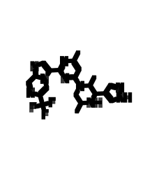 Cc1cc(N2CC(C)NC(c3cn[nH]c3)C2C)nc(-c2cnc3cnc(C(F)(F)F)cn23)n1